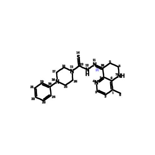 Cc1ccnc2c1NCC/C2=N/NC(=S)N1CCN(c2ccccc2)CC1